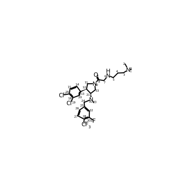 CN(C)CCCNCC(=O)N1C[C@H](c2ccc(Cl)c(Cl)c2)[C@H](N(C)Cc2ccc(C(F)(F)F)c(F)c2)C1